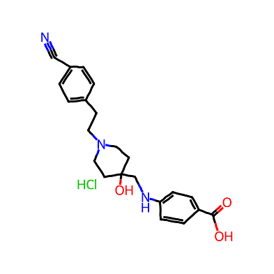 Cl.N#Cc1ccc(CCN2CCC(O)(CNc3ccc(C(=O)O)cc3)CC2)cc1